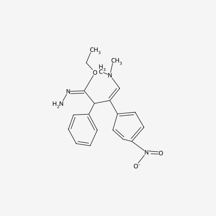 CCO/C(=N/N)C(/C(=C\N(C)C)c1ccc([N+](=O)[O-])cc1)c1ccccc1